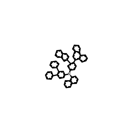 c1ccc(-c2ccc(N(c3ccc(-c4cc5ccccc5c5ccccc45)c(-c4ccc5ccccc5c4)c3)c3cccc4ccccc34)cc2-c2ccccc2)cc1